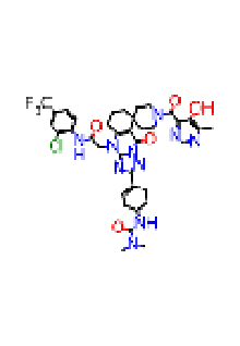 Cc1ncnc(C(=O)N2CCC3(CCCc4c3c(=O)n3nc(C5=CCC(NC(=O)N(C)C)CC5)nc3n4CC(=O)Nc3ccc(C(F)(F)F)cc3Cl)CC2)c1O